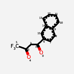 O=C(CC(=O)C(F)(F)F)c1ccc2ccccc2c1